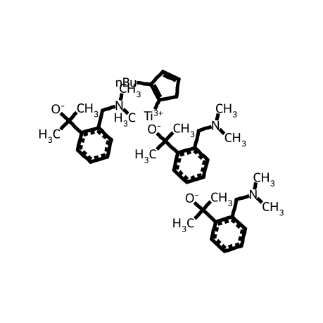 CCCCC1=[C]([Ti+3])CC=C1.CN(C)Cc1ccccc1C(C)(C)[O-].CN(C)Cc1ccccc1C(C)(C)[O-].CN(C)Cc1ccccc1C(C)(C)[O-]